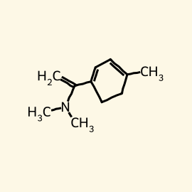 C=C(C1=CC=C(C)CC1)N(C)C